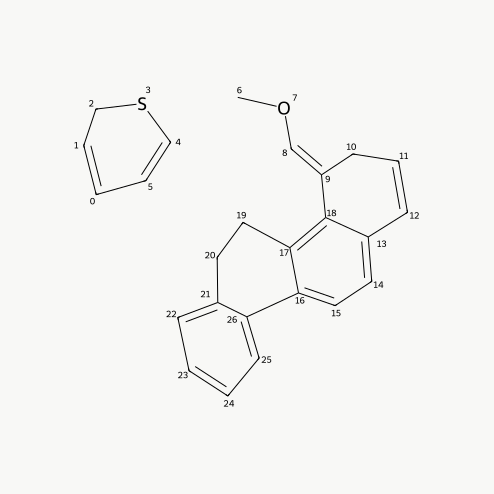 C1=CCSC=C1.COC=C1CC=Cc2ccc3c(c21)CCc1ccccc1-3